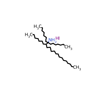 CCCCCCCCCCCCCCC(CCCCCCC)C(N)(CCCCCCC)CCCCCCC.I